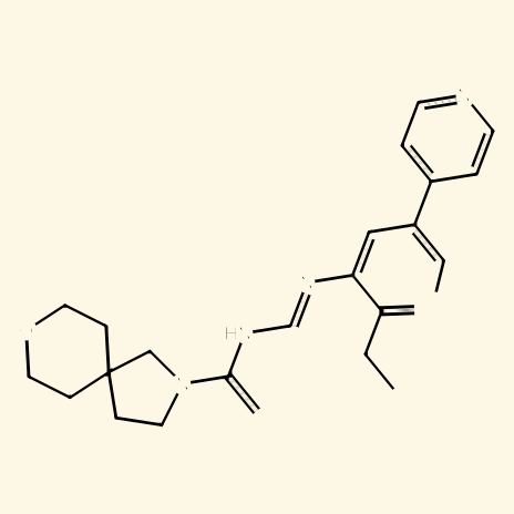 C=C(CC)C(=C\C(=C/C)c1ccncc1)/N=C/NC(=C)N1CCC2(CCOCC2)C1